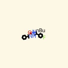 CCCCC1=NN(C(=O)NC(C)(C)c2ccccc2)CC1c1ccc(F)cc1